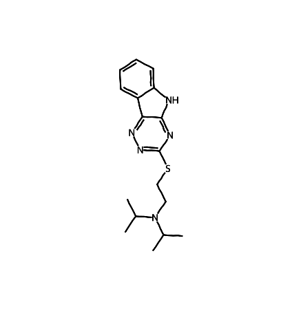 CC(C)N(CCSc1nnc2c(n1)[nH]c1ccccc12)C(C)C